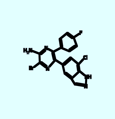 Nc1nc(-c2ccc(F)cc2)c(-c2cc(Cl)c3[nH]ncc3c2)nc1Br